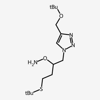 CC(C)(C)OCc1cn(CC(CCSC(C)(C)C)ON)nn1